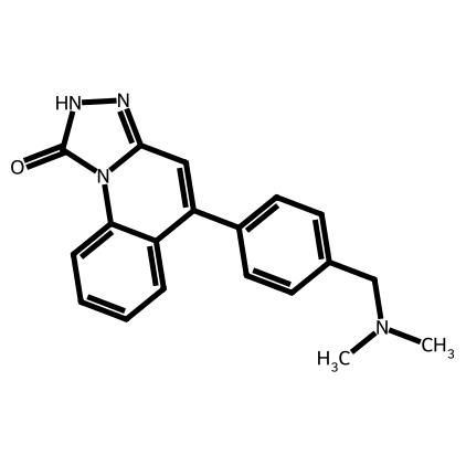 CN(C)Cc1ccc(-c2cc3n[nH]c(=O)n3c3ccccc23)cc1